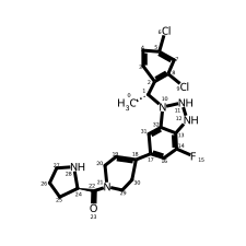 C[C@H](c1ccc(Cl)cc1Cl)N1NNc2c(F)cc(C3=CCN(C(=O)[C@H]4CCCN4)CC3)cc21